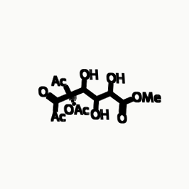 COC(=O)C(O)C(O)C(O)[C@](OC(C)=O)(C(C)=O)C(=O)C(C)=O